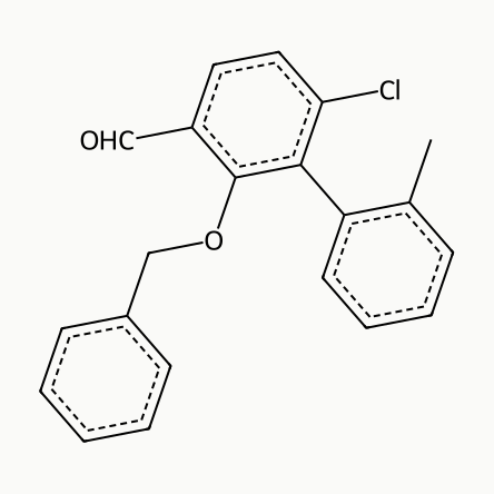 Cc1ccccc1-c1c(Cl)ccc(C=O)c1OCc1ccccc1